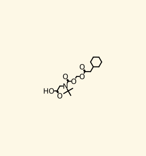 CC(C)(C)N(CC(=O)O)C(=O)OCOC(=O)CC1CCCCC1